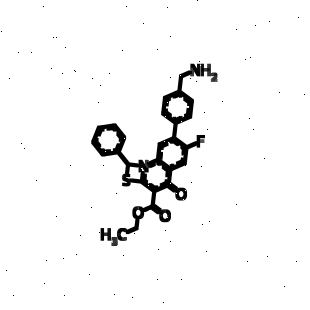 CCOC(=O)c1c2n(c3cc(-c4ccc(CN)cc4)c(F)cc3c1=O)C(c1ccccc1)S2